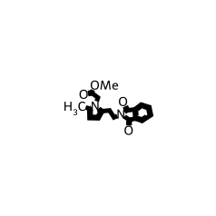 COC(=O)Cn1c(C)ccc1CCN1C(=O)c2ccccc2C1=O